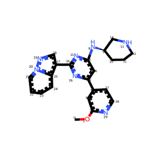 COc1cc(-c2cc(N[C@@H]3CCCNC3)nc(-c3cnn4ccccc34)n2)ccn1